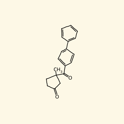 CC1(C(=O)c2ccc(-c3ccccc3)cc2)CCC(=O)C1